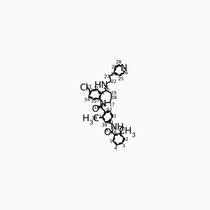 Cc1ccccc1C(=O)Nc1ccc(C(=O)N2CCCC(NCCc3ccncc3)c3cc(Cl)ccc32)c(C)c1